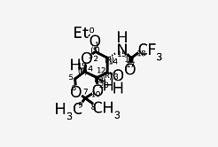 CCO[C@H]1O[C@@H]2COC(C)(C)O[C@H]2[C@H](O)[C@H]1NC(=O)C(F)(F)F